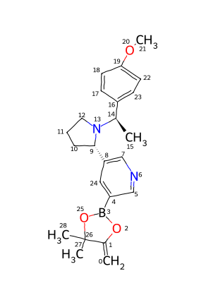 C=C1OB(c2cncc([C@@H]3CCCN3[C@H](C)c3ccc(OC)cc3)c2)OC1(C)C